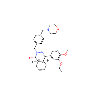 CCOc1cc(C2=NN(Cc3ccc(CN4CCOCC4)cc3)C(=O)[C@@H]3CC=CC[C@H]23)ccc1OC